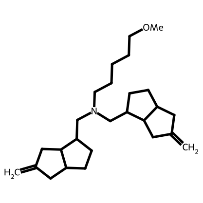 C=C1CC2CCC(CN(CCCCCOC)CC3CCC4CC(=C)CC43)C2C1